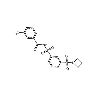 O=C(NS(=O)(=O)c1cccc(S(=O)(=O)N2CCC2)c1)c1cccc(C(F)(F)F)c1